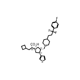 O=C(O)[C@@H](CC1CCC1)N1C[C@H](CN2CCC(CCC(F)(F)c3ccc(F)cc3)CC2)[C@@H](c2ccsc2)C1